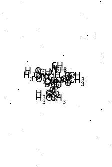 CN(C)CCc1cn(C(=O)C(C)(C)C)c2cccc(OP(=O)(OCOC(=O)C(C)(C)C)OCOC(=O)C(C)(C)C)c12